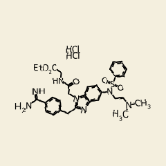 CCOC(=O)CNC(=O)Cn1c(Cc2ccc(C(=N)N)cc2)nc2cc(N(CCN(C)C)S(=O)(=O)c3ccccc3)ccc21.Cl.Cl